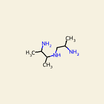 CC(N)CNC(C)C(C)N